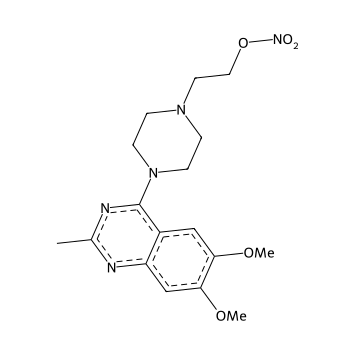 COc1cc2nc(C)nc(N3CCN(CCO[N+](=O)[O-])CC3)c2cc1OC